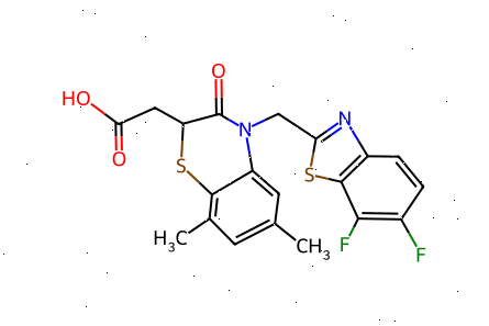 Cc1cc(C)c2c(c1)N(Cc1nc3ccc(F)c(F)c3s1)C(=O)C(CC(=O)O)S2